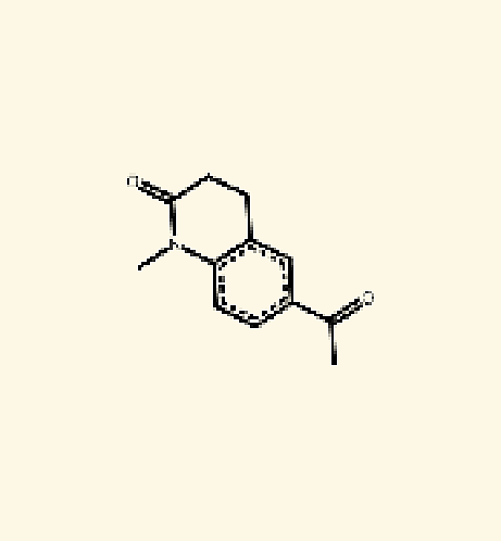 CC(=O)c1ccc2c(c1)CCC(=O)N2C